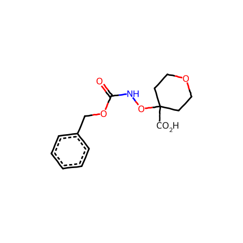 O=C(NOC1(C(=O)O)CCOCC1)OCc1ccccc1